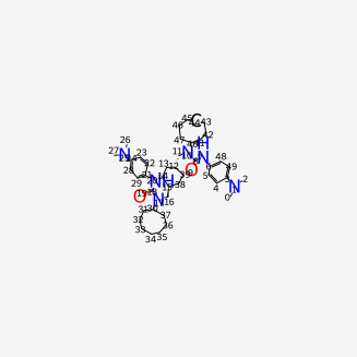 CN(C)c1ccc(NC(=O)N(C[C@H]2CC[C@H](CN(C(=O)Nc3ccc(N(C)C)cc3)C3CCCCCCC3)CC2)C2CCCCCCC2)cc1